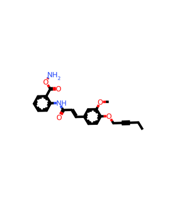 CCC#CCOc1ccc(/C=C/C(=O)Nc2ccccc2C(=O)ON)cc1OC